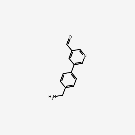 NCc1ccc(-c2cncc(C=O)c2)cc1